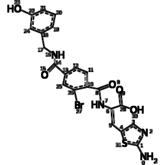 Nc1ncc(C=C(NC(=O)c2ccc(C(=O)NCc3cccc(O)c3)cc2Br)C(=O)O)s1